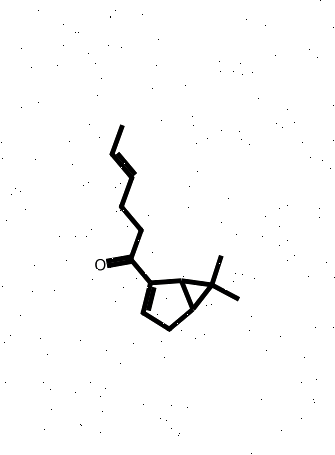 CC=CCCC(=O)C1=CCC2C1C2(C)C